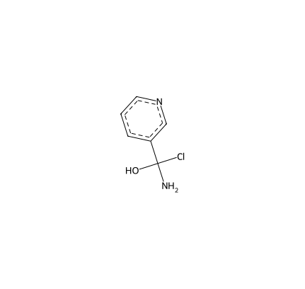 NC(O)(Cl)c1cccnc1